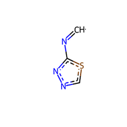 [CH]=Nc1nncs1